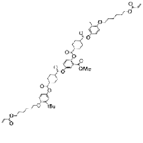 C=CC(=O)OCCCCCCOc1ccc(OC(=O)C2CCC(C(=O)Oc3ccc(OC(=O)C4CCC(C(=O)Oc5ccc(OCCCCCCOC(=O)C=C)c(C(C)(C)C)c5)CC4)cc3C(=O)OC)CC2)cc1C